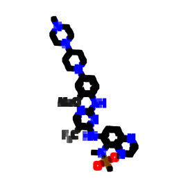 COc1cc(N2CCC(N3CCN(C)CC3)CC2)ccc1Nc1ncc(C(F)(F)F)c(Nc2ccc3nccnc3c2N(C)S(C)(=O)=O)n1